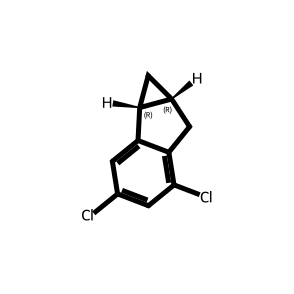 Clc1cc(Cl)c2c(c1)[C@@H]1C[C@@H]1C2